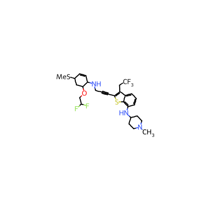 CSC1C=CC(NCC#Cc2sc3c(NC4CCN(C)CC4)cccc3c2CC(F)(F)F)C(OCC(F)F)C1